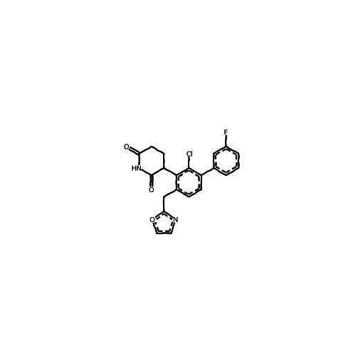 O=C1CCC(c2c(Cc3ncco3)ccc(-c3cccc(F)c3)c2Cl)C(=O)N1